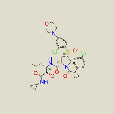 CCC[C@H](NC(=O)[C@@H]1C[C@@H]([S+]([O-])c2ccc(N3CCOCC3)cc2Cl)CN1C(=O)C1(c2ccc(Cl)cc2)CC1)C(=O)C(=O)NC1CC1